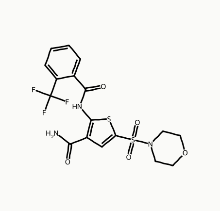 NC(=O)c1cc(S(=O)(=O)N2CCOCC2)sc1NC(=O)c1ccccc1C(F)(F)F